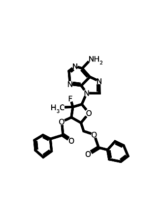 CC1(F)C(OC(=O)c2ccccc2)C(COC(=O)c2ccccc2)OC1n1cnc2c(N)ncnc21